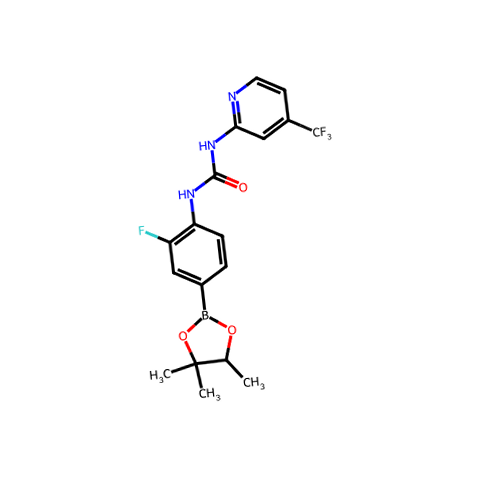 CC1OB(c2ccc(NC(=O)Nc3cc(C(F)(F)F)ccn3)c(F)c2)OC1(C)C